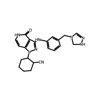 N#CC1CCCCC1n1nc(Nc2cccc(CN3C=NNC3)c2)c2c(=O)[nH]ccc21